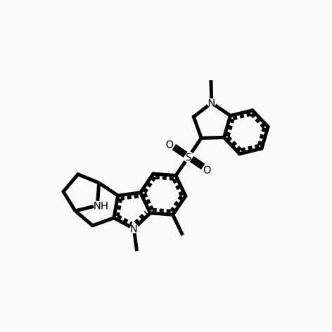 Cc1cc(S(=O)(=O)C2CN(C)c3ccccc32)cc2c3c(n(C)c12)CC1CCC3N1